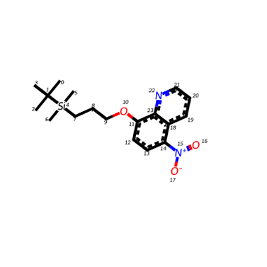 CC(C)(C)[Si](C)(C)C[CH]COc1ccc([N+](=O)[O-])c2cccnc12